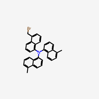 Cc1cccc2c(N(c3cccc4c(C)cccc34)c3cccc4c(CBr)cccc34)cccc12